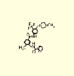 Cc1ccc(C(=O)Nc2ccc(CN3CCN(C)CC3)c(C(F)(F)F)c2)cc1CNC(=O)n1cccn1